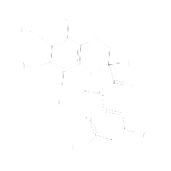 CCN(C(=O)C1(C)CCc2c(C)c(O)c(C)c(C)c2O1)c1cc(C)cc(C)n1